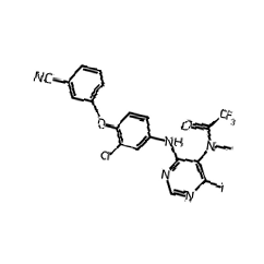 CN(C(=O)C(F)(F)F)c1c(I)ncnc1Nc1ccc(Oc2cccc(C#N)c2)c(Cl)c1